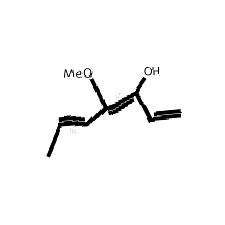 C=C/C(O)=C(\C=C\C)OC